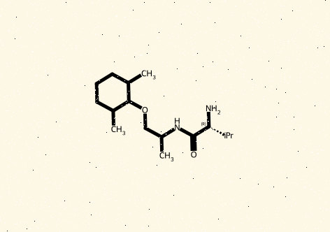 CC(COC1C(C)CCCC1C)NC(=O)[C@H](N)C(C)C